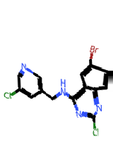 Clc1cncc(CNc2nc(Cl)nc3ccc(Br)cc23)c1